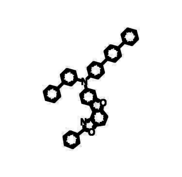 c1ccc(-c2ccc(-c3ccc(N(c4cccc(-c5ccccc5)c4)c4ccc5c(c4)oc4ccc6oc(-c7ccccc7)nc6c45)cc3)cc2)cc1